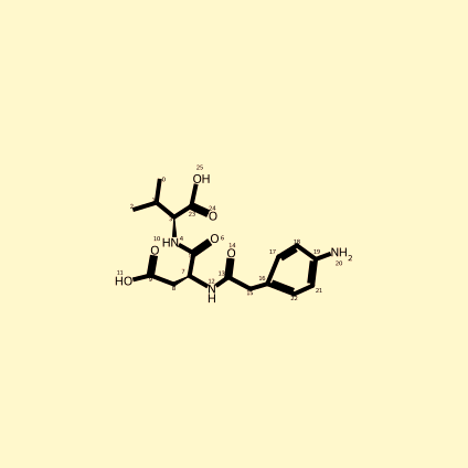 CC(C)[C@H](NC(=O)[C@H](CC(=O)O)NC(=O)Cc1ccc(N)cc1)C(=O)O